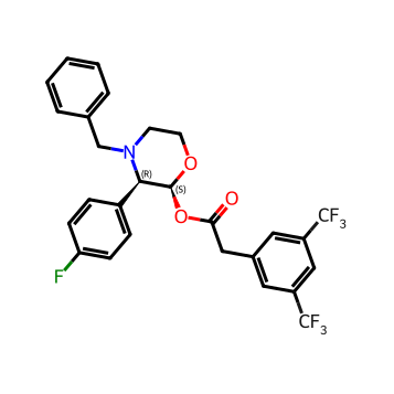 O=C(Cc1cc(C(F)(F)F)cc(C(F)(F)F)c1)O[C@@H]1OCCN(Cc2ccccc2)[C@@H]1c1ccc(F)cc1